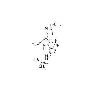 C=C1C=C(c2ccc(OC)nc2)N=C(c2cc(CNC(=O)C(C)C)ccc2C(F)(F)I)N1